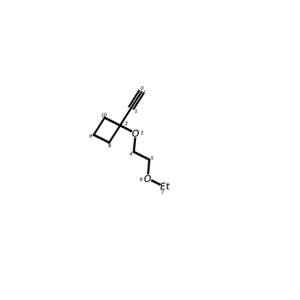 [C]#CC1(OCCOCC)CCC1